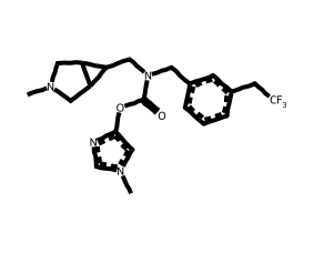 CN1CC2C(C1)C2CN(Cc1cccc(CC(F)(F)F)c1)C(=O)Oc1cn(C)cn1